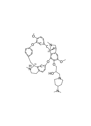 COc1ccc2cc1Oc1ccc(cc1)C[C@H]1c3cc(ccc3CCN1C)Oc1c(OCC(O)CN3CCC(N(C)C)CC3)c(OC)cc3c1[C@H](C2)N(C)CC3